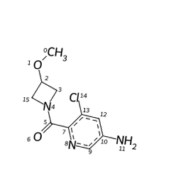 COC1CN(C(=O)c2ncc(N)cc2Cl)C1